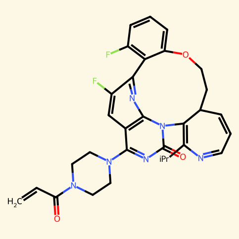 C=CC(=O)N1CCN(c2nc(=O)n3c4nc(c(F)cc24)-c2c(F)cccc2OCCC2C=CC=NC(C(C)C)=C23)CC1